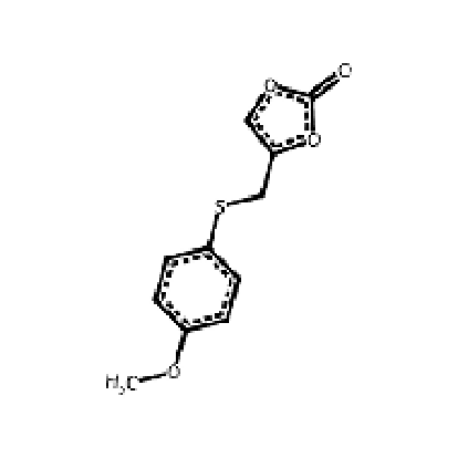 COc1ccc(SCc2coc(=O)o2)cc1